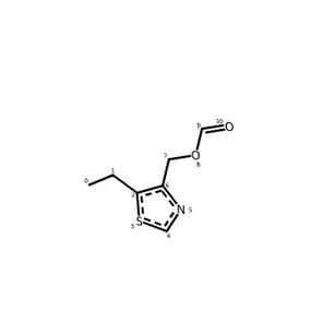 CCc1scnc1CO[C]=O